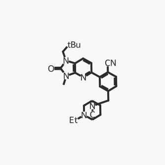 CCN1CC2CCC1CN2Cc1ccc(C#N)c(-c2ccc3c(n2)n(C)c(=O)n3CC(C)(C)C)c1